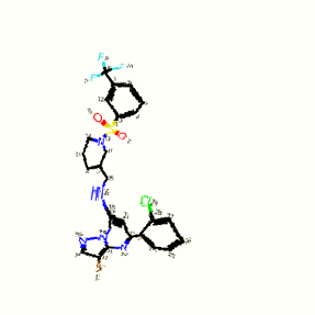 O=S(=O)(c1cccc(C(F)(F)F)c1)N1CCCC(CNc2cc(-c3ccccc3Cl)nc3c(Br)cnn23)C1